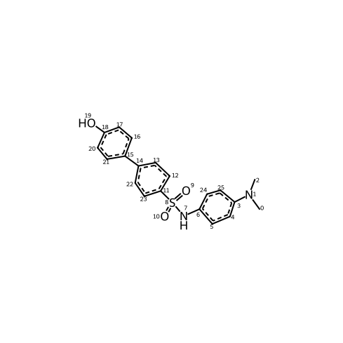 CN(C)c1ccc(NS(=O)(=O)c2ccc(-c3ccc(O)cc3)cc2)cc1